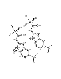 CC(C)c1ccc2c(c1)SC(=CC(=O)C(F)(F)F)N2.CC(C)c1ccc2c(c1)SC(=CC(=O)C(F)(F)F)N2.[Co]